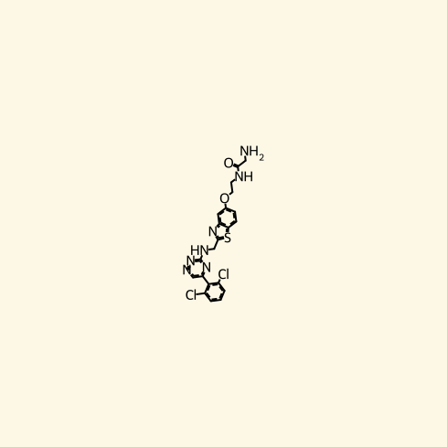 NCC(=O)NCCOc1ccc2sc(CNc3nncc(-c4c(Cl)cccc4Cl)n3)nc2c1